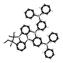 CC[C@@]1(C)c2cccc3c2N(c2cccc4c2B3c2ccc(N(c3ccccc3)c3ccccc3)cc2N4c2cccc(N(c3ccccc3)c3ccccc3)c2)C1(C)C